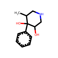 CC1CNCC(O)C1(O)c1ccccc1